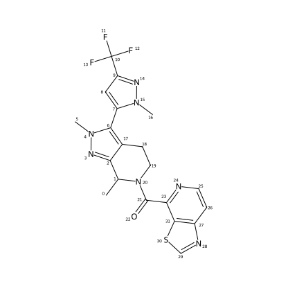 CC1c2nn(C)c(-c3cc(C(F)(F)F)nn3C)c2CCN1C(=O)c1nccc2ncsc12